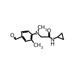 Cc1cc(C=O)ccc1N(C)CC(=O)NC1CC1